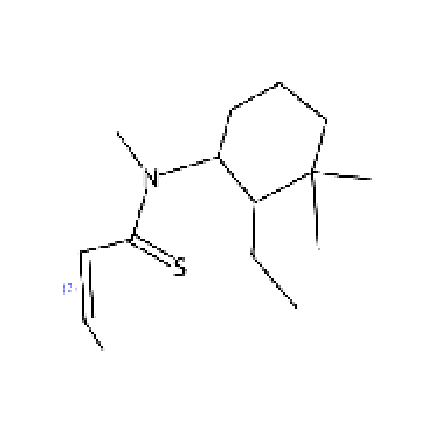 C/C=C\C(=S)N(C)C1CCCC(C)(C)C1CC